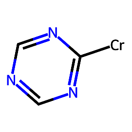 [Cr][c]1ncncn1